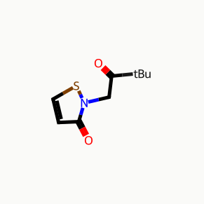 CC(C)(C)C(=O)Cn1sccc1=O